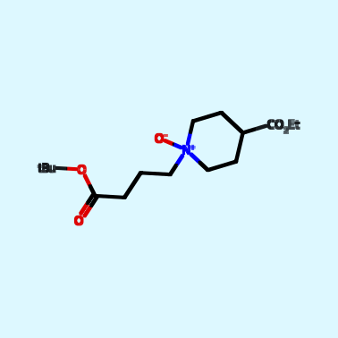 CCOC(=O)C1CC[N+]([O-])(CCCC(=O)OC(C)(C)C)CC1